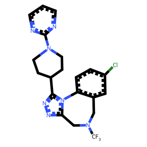 FC(F)(F)N1Cc2cc(Cl)ccc2-n2c(nnc2C2CCN(c3ncccn3)CC2)C1